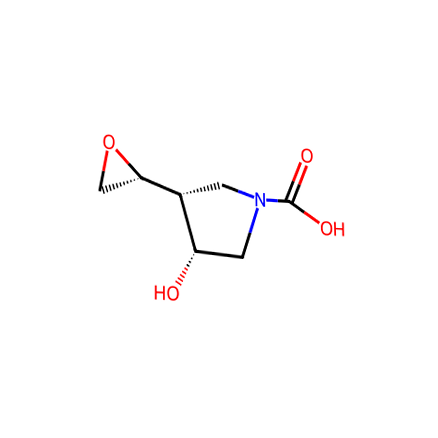 O=C(O)N1C[C@@H]([C@@H]2CO2)[C@@H](O)C1